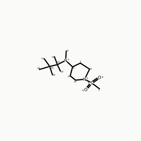 CN(C1CCN(S(C)(=O)=O)CC1)C(C)(C)C(C)(C)C